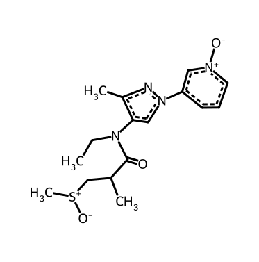 CCN(C(=O)C(C)C[S+](C)[O-])c1cn(-c2ccc[n+]([O-])c2)nc1C